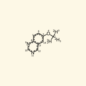 [2H]C([2H])([2H])Oc1ccc2ncncc2c1